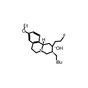 CCOc1ccc2c(c1)CCN1C[C@H](CC(C)CC)[C@](O)(CCF)C[C@@H]21